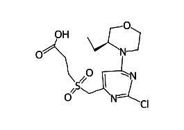 CC[C@H]1COCCN1c1cc(CS(=O)(=O)CCC(=O)O)nc(Cl)n1